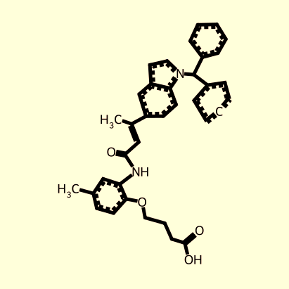 CC(=CC(=O)Nc1cc(C)ccc1OCCCC(=O)O)c1ccc2c(ccn2C(c2ccccc2)c2ccccc2)c1